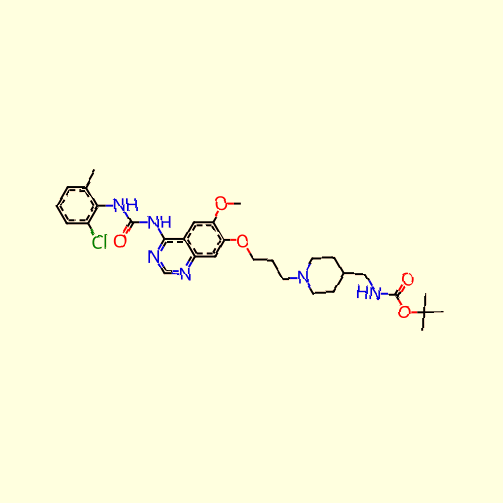 COc1cc2c(NC(=O)Nc3c(C)cccc3Cl)ncnc2cc1OCCCN1CCC(CNC(=O)OC(C)(C)C)CC1